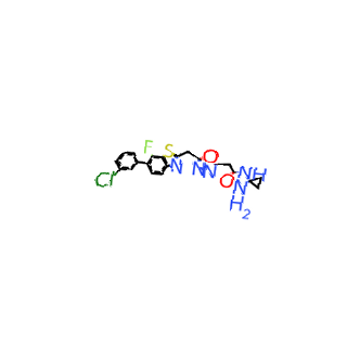 NC1(NC(=O)Cc2nnc(Cc3nc4ccc(-c5cccc(Cl)c5)c(F)c4s3)o2)CC1